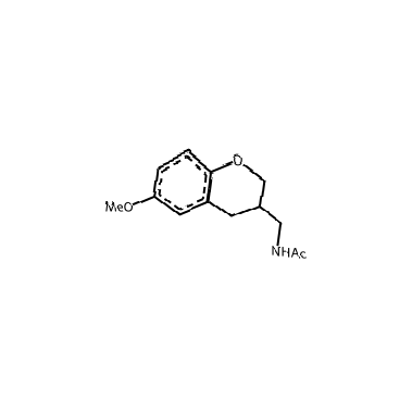 COc1ccc2c(c1)CC(CNC(C)=O)CO2